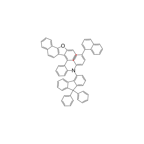 c1ccc(C2(c3ccccc3)c3ccccc3-c3c(N(c4ccc(-c5cccc6ccccc56)cc4)c4ccccc4-c4cccc5oc6c7ccccc7ccc6c45)cccc32)cc1